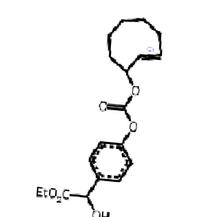 CCOC(=O)C(O)c1ccc(OC(=O)OC2/C=C/CCCCC2)cc1